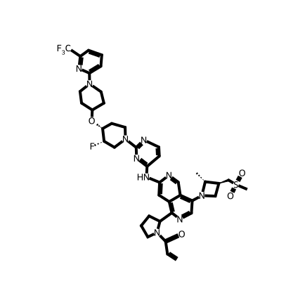 C=CC(=O)N1CCCC1c1ncc(N2C[C@H](CS(C)(=O)=O)[C@H]2C)c2cnc(Nc3ccnc(N4CC[C@@H](OC5CCN(c6cccc(C(F)(F)F)n6)CC5)[C@@H](F)C4)n3)cc12